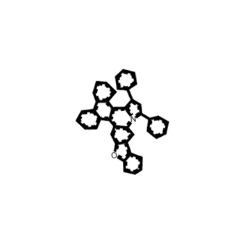 c1ccc(-c2cc(-c3ccccc3)n3c4cc5c(cc4c4c6ccccc6c6ccccc6c4c23)oc2ccccc25)cc1